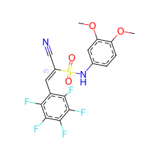 COc1ccc(NS(=O)(=O)/C(C#N)=C\c2c(F)c(F)c(F)c(F)c2F)cc1OC